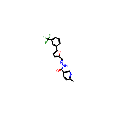 Cc1ccc(C(=O)N/N=C/c2ccc(-c3cccc(C(F)(F)F)c3)o2)cn1